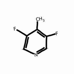 Cc1c(F)[c]n[c]c1F